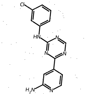 Nc1cc(-c2ncnc(Nc3cccc(Cl)c3)n2)ccn1